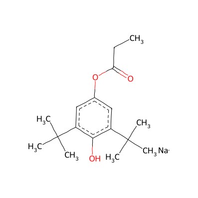 CCC(=O)Oc1cc(C(C)(C)C)c(O)c(C(C)(C)C)c1.[Na]